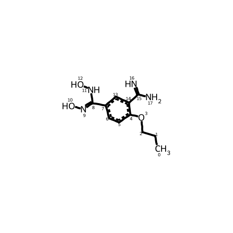 CCCOc1ccc(C(=NO)NO)cc1C(=N)N